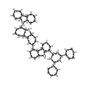 c1ccc(-c2nc(-c3ccccc3)nc(-c3cccc4c3oc3cccc(-c5ccc6sc7c(-n8c9ccccc9c9ccccc98)cccc7c6c5)c34)n2)cc1